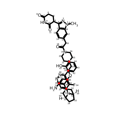 Cn1nc(C2CCC(=O)NC2=O)c2ccc(CC(=O)N3CCN(CCOc4cccc(N5[C@@H]6CC[C@H]5CN(c5cc(-c7ccccc7O)nnc5N)C6)c4F)CC3)cc21